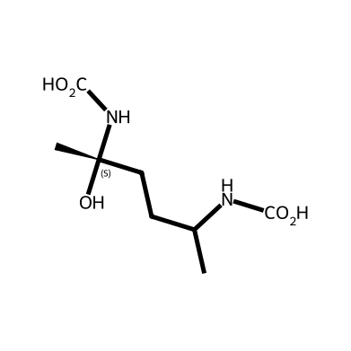 CC(CC[C@](C)(O)NC(=O)O)NC(=O)O